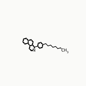 CCCCCCCCc1ccc(-c2nccc3c2ccc2ccccc23)cc1